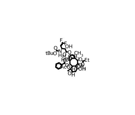 CCC(=O)O[C@H]1C(=O)[C@@]2(C)[C@H]([C@H](OC(=O)c3ccccc3)[C@]3(O)C[C@H](OC(=O)[C@H](O)[C@H](C=C(F)F)NC(=O)OC(C)(C)C)C(C)=C1C3(C)C)[C@]1(OC(C)=O)CO[C@@H]1C[C@@H]2O